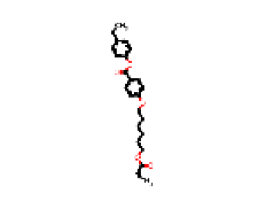 C=CC(=O)OCCCCCCOc1ccc(C(=O)Oc2ccc(CC)cc2)cc1